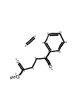 C=C.COC(=O)CCC(=O)c1ccccc1